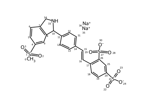 CS(=O)(=O)c1ccc2c(c1)C(c1ccc(C=Cc3ccc(S(=O)(=O)[O-])cc3S(=O)(=O)[O-])cc1)NC2.[Na+].[Na+]